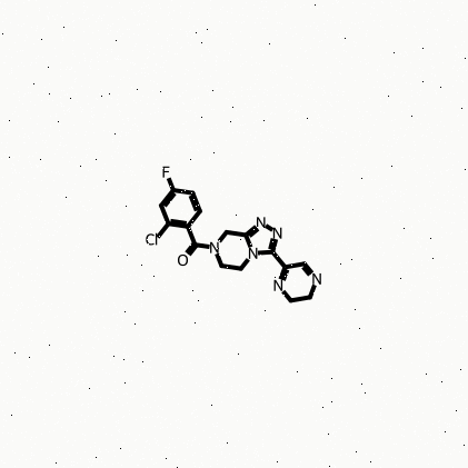 O=C(c1ccc(F)cc1Cl)N1CCn2c(nnc2C2=NCCN=C2)C1